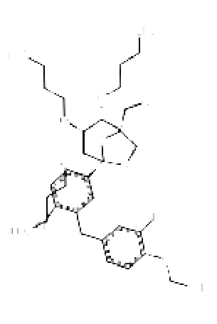 CCCCO[C@@H]1[C@@H](OCCCC)[C@]2(c3ccc(Cl)c(Cc4ccc(OCC)c(F)c4)c3)O[C@@](CO)(CS2)[C@H]1OCCCC